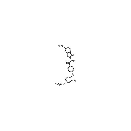 COc1ccc2[nH]c(C(=O)Nc3ccc(Oc4ccc(CC(=O)O)cc4Cl)cc3)cc2c1